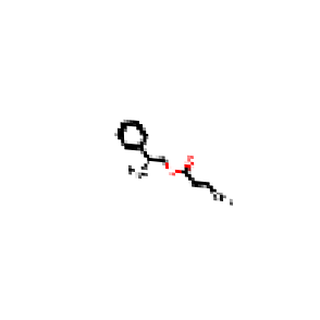 CCCC(=O)OC[C@@H](C)c1ccccc1